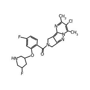 Cc1nc2c3c(nn2c(C)c1Cl)CN(C(=O)c1ccc(F)cc1OC1CNCC(F)C1)C3